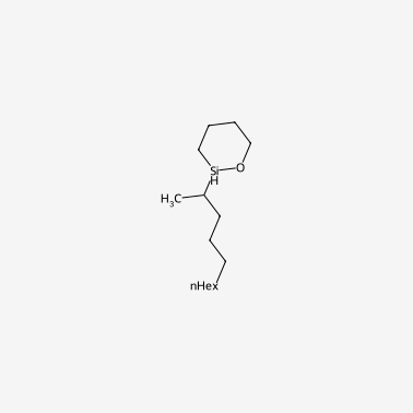 CCCCCCCCCC(C)[SiH]1CCCCO1